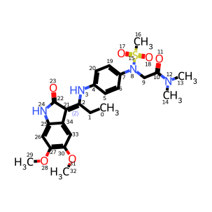 CC/C(Nc1ccc(N(CC(=O)N(C)C)S(C)(=O)=O)cc1)=C1/C(=O)Nc2cc(OC)c(OC)cc21